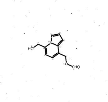 O=COCc1ccc(CO)n2cccc12